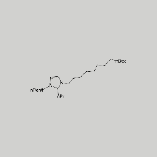 CCCCCCCCCCCCCCCCCCN1C=CN(CCCCC)C1CCC